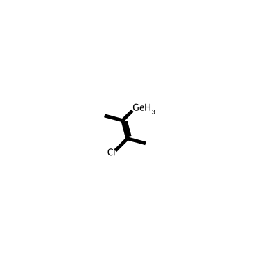 CC(Cl)=[C](C)[GeH3]